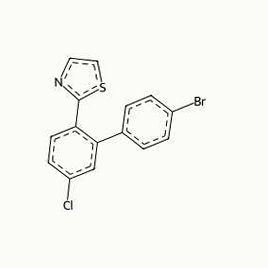 Clc1ccc(-c2nccs2)c(-c2ccc(Br)cc2)c1